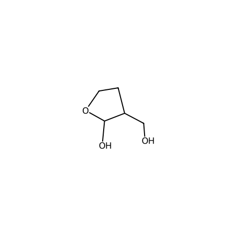 OCC1CCOC1O